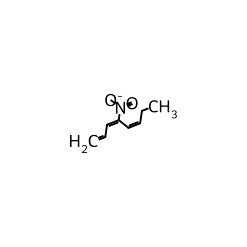 C=C/C=C(\C=C/CC)[N+](=O)[O-]